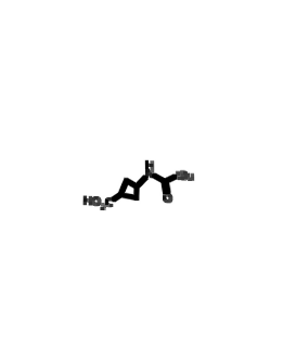 CC(C)(C)C(=O)NC1CC(C(=O)O)C1